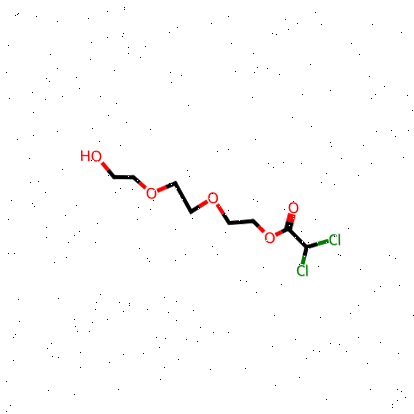 O=C(OCCOCCOCCO)C(Cl)Cl